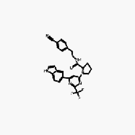 N#Cc1ccc(CCNC(=O)C2CCCN2c2cc(-c3ccc4[nH]ccc4c3)nc(C(F)(F)F)n2)cc1